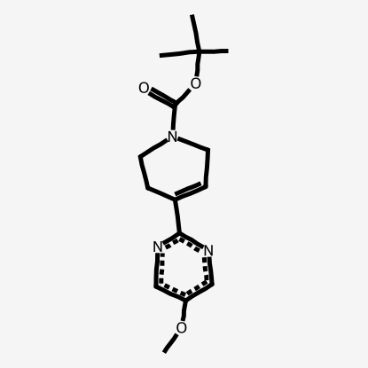 COc1cnc(C2=CCN(C(=O)OC(C)(C)C)CC2)nc1